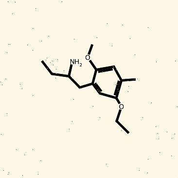 CCOc1cc(CC(N)CC)c(OC)cc1C